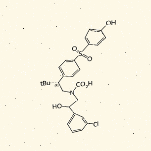 CC(C)(C)[C@@H](CN(CC(O)c1cccc(Cl)c1)C(=O)O)c1ccc(S(=O)(=O)c2ccc(O)cc2)cc1